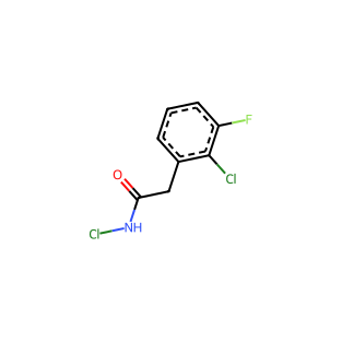 O=C(Cc1cccc(F)c1Cl)NCl